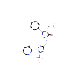 CC(O)(C(=O)O)c1nc(Cn2nc(-c3ccc(Cl)cc3)n(C[C@H](O)C(F)(F)F)c2=O)nn1-c1ncccc1Cl